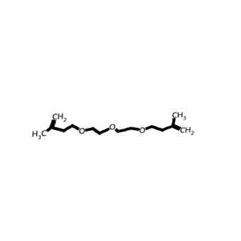 C=C(C)CCOCCOCCOCCC(=C)C